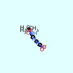 CC(C)(C)OC(=O)NCC1CCN(C2CCN(c3ccc([N+](=O)[O-])cc3)CC2)CC1